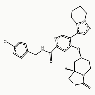 O=C(NCc1ccc(Cl)cc1)c1cc(O[C@H]2CCN3C(=O)OC[C@@H]3C2)c(-c2cnn3c2COCC3)cn1